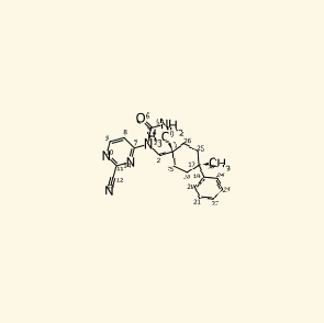 C[C@]1(CN(C(N)=O)c2ccnc(C#N)n2)CC[C@@](C)(c2ccccc2)CC1